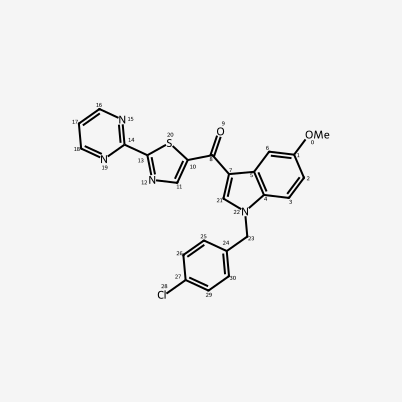 COc1ccc2c(c1)c(C(=O)c1cnc(-c3ncccn3)s1)cn2Cc1ccc(Cl)cc1